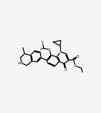 CCOC(=O)c1cn(C2CC2)c2c(OC(F)F)c(-c3ccc4c(c3)CNCC4C)ccc2c1=O